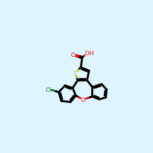 O=C(O)c1cc2c(s1)-c1cc(Cl)ccc1Oc1ccccc1-2